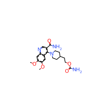 COc1cc2ncc(C(N)=O)c(N3CCC(CCOC(N)=O)CC3)c2cc1OC